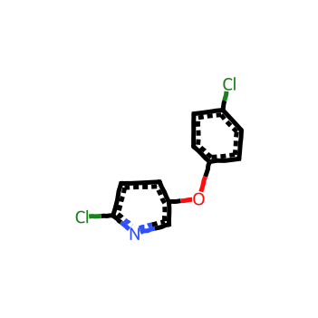 Clc1ccc(Oc2ccc(Cl)nc2)cc1